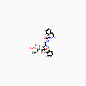 CC(C)C[C@H](NC(=O)C1(Cc2c(F)cccc2F)CC(CNC(=O)c2nccc3ccccc23)=NO1)B(O)O